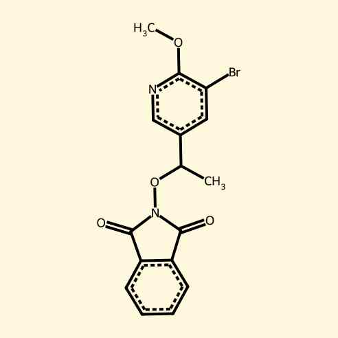 COc1ncc(C(C)ON2C(=O)c3ccccc3C2=O)cc1Br